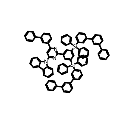 c1ccc(-c2cccc(-c3cccc([Si](c4ccccc4)(c4ccccc4)c4cc(-c5nc(-c6cccc(-c7ccccc7)c6)cc(-n6c7ccccc7c7ccccc76)n5)cc([Si](c5ccccc5)(c5ccccc5)c5cccc(-c6cccc(-c7ccccc7)c6)c5)c4)c3)c2)cc1